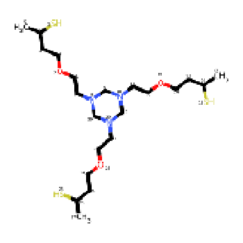 CC(S)CCOCCN1CN(CCOCCC(C)S)CN(CCOCCC(C)S)C1